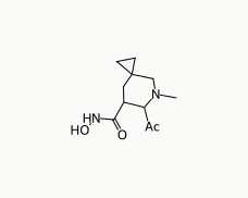 CC(=O)C1C(C(=O)NO)CC2(CC2)CN1C